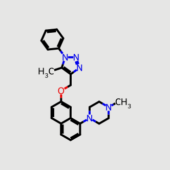 Cc1c(COc2ccc3cccc(N4CCN(C)CC4)c3c2)nnn1-c1ccccc1